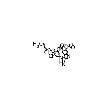 C/C=C\C=C(\Cl)CCOc1ccc(Nc2c(C#N)cnc3cc(OC4CCOC4)c([N+](=O)[O-])cc23)cc1Cl